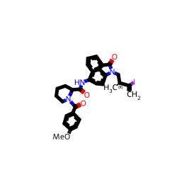 C=C(I)[C@H](C)CN1C(=O)c2cccc3c(NC(=O)C4CCCCN4C(=O)c4ccc(OC)cc4)ccc1c23